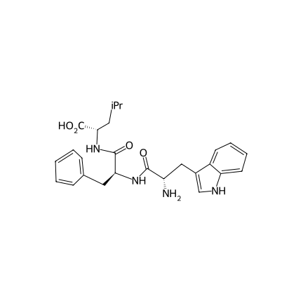 CC(C)C[C@H](NC(=O)[C@H](Cc1ccccc1)NC(=O)[C@@H](N)Cc1c[nH]c2ccccc12)C(=O)O